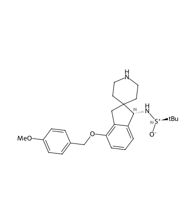 COc1ccc(COc2cccc3c2CC2(CCNCC2)[C@@H]3N[S@+]([O-])C(C)(C)C)cc1